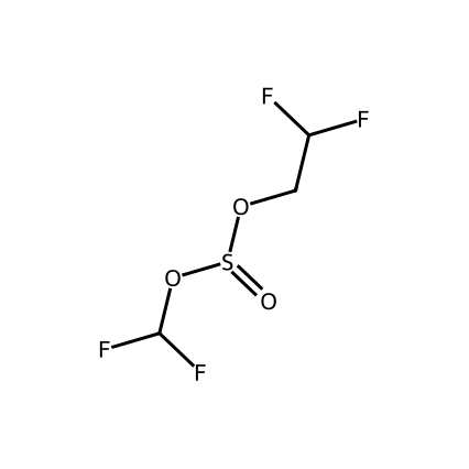 O=S(OCC(F)F)OC(F)F